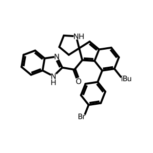 CCC(C)c1ccc2c(c1-c1ccc(Br)cc1)=C(C(=O)c1nc3ccccc3[nH]1)C1(C=2)CCCN1